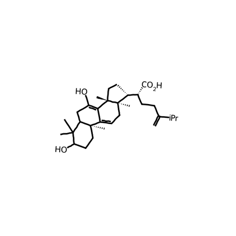 C=C(CC[C@@H](C(=O)O)[C@H]1CC[C@@]2(C)C3=C(O)CC4C(C)(C)C(O)CC[C@]4(C)C3=CC[C@]12C)C(C)C